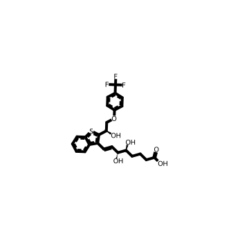 O=C(O)CCC[C@H](O)[C@H](O)/C=C/c1c([C@H](O)COc2ccc(C(F)(F)F)cc2)sc2ccccc12